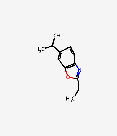 CCc1nc2ccc(C(C)C)cc2o1